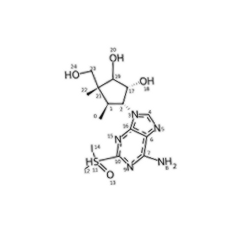 C[C@@H]1[C@@H](n2cnc3c(N)nc([SH](C)(=O)I)nc32)[C@@H](O)C(O)[C@@]1(C)CO